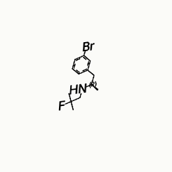 C[C@H](Cc1cccc(Br)c1)NCC(C)(C)F